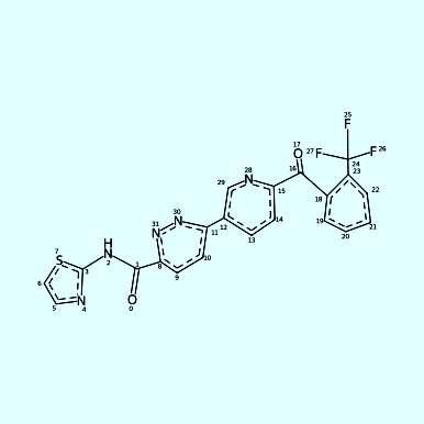 O=C(Nc1nccs1)c1ccc(-c2ccc(C(=O)c3ccccc3C(F)(F)F)nc2)nn1